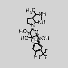 CC1NCNC2C1CCN2[C@@H]1O[C@H]([C@H](O)c2ccc(F)c(C(F)(F)F)c2)[C@@](C)(O)[C@H]1O